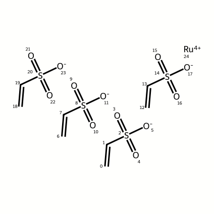 C=CS(=O)(=O)[O-].C=CS(=O)(=O)[O-].C=CS(=O)(=O)[O-].C=CS(=O)(=O)[O-].[Ru+4]